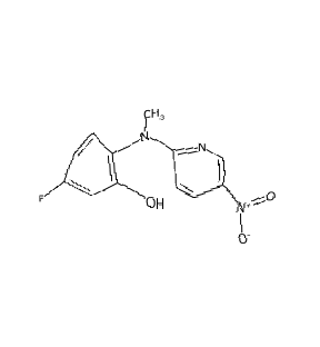 CN(c1ccc([N+](=O)[O-])cn1)c1ccc(F)cc1O